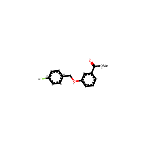 COC(=O)c1cccc(OCc2ccc(F)cc2)c1